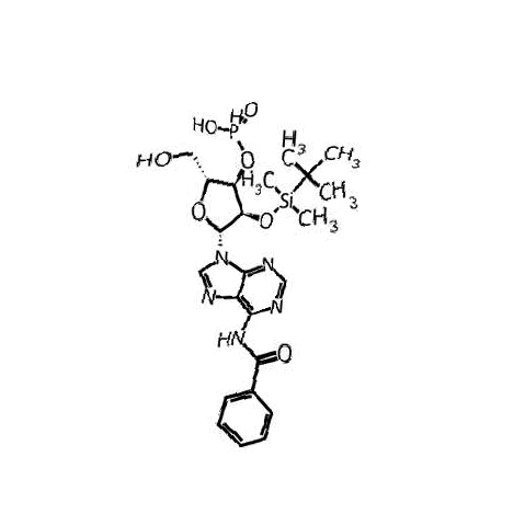 CC(C)(C)[Si](C)(C)O[C@@H]1[C@H](O[PH](=O)O)[C@@H](CO)O[C@H]1n1cnc2c(NC(=O)c3ccccc3)ncnc21